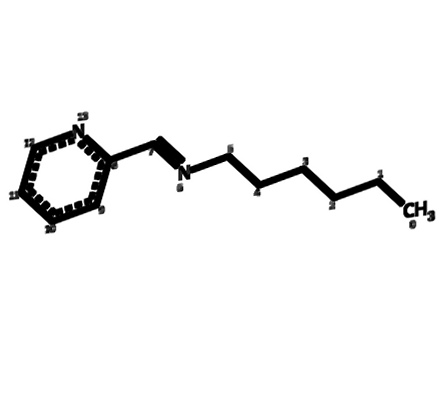 CCCCCCN=Cc1ccccn1